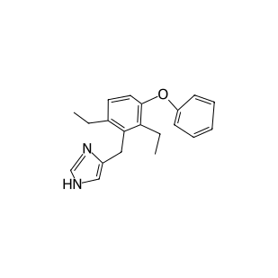 CCc1ccc(Oc2ccccc2)c(CC)c1Cc1c[nH]cn1